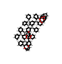 c1ccc(N2c3ccccc3B3c4cc5c(cc4N(c4ccccc4)c4cc(N(c6ccccc6CC6CC7CCC(C7)C6)c6ccccc6C67CC8CC9CC(C6)C9(C8)C7)cc2c43)N(c2ccccc2)c2cc(N(c3ccccc3C34CC6CC(CC(C6)C3)C4)c3ccccc3C34CCC6CC(CC6C3)C4)cc3c2B5c2ccccc2N3c2ccccc2)cc1